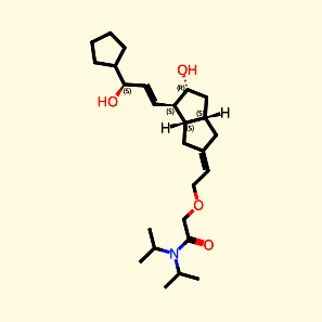 CC(C)N(C(=O)COCC=C1C[C@H]2C[C@@H](O)[C@H](C=C[C@@H](O)C3CCCC3)[C@H]2C1)C(C)C